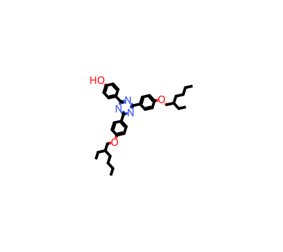 CCCCC(CC)COc1ccc(-c2nc(-c3ccc(O)cc3)nc(-c3ccc(OCC(CC)CCCC)cc3)n2)cc1